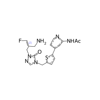 CC(=O)Nc1cc(-c2ccc(Cn3cnn(C/C(=C\F)CN)c3=O)s2)ccn1